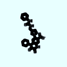 O=C(NCc1ccn(-c2cc3c(cc2[N+](=O)[O-])[nH]c(=O)c(=O)n3C2CCCCC2)c1)Nc1ccccc1